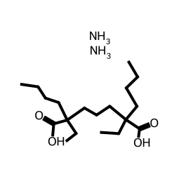 CCCCC(CC)(CCCC(CC)(CCCC)C(=O)O)C(=O)O.N.N